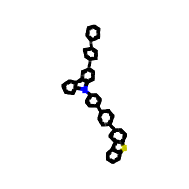 c1ccc(-c2ccc(-c3ccc4c(c3)c3ccccc3n4-c3ccc(-c4ccc(-c5ccc6sc7ccccc7c6c5)cc4)cc3)cc2)cc1